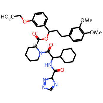 COc1ccc(CCC(OC(=O)[C@@H]2CCCCN2C(=O)C(NC(=O)C2N=CN=N2)C2CCCCC2)c2cccc(OCC(=O)O)c2)cc1OC